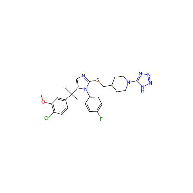 COc1cc(C(C)(C)c2cnc(SCC3CCN(c4nnn[nH]4)CC3)n2-c2ccc(F)cc2)ccc1Cl